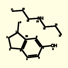 CC1CCc2ccc(O)cc21.CCCNCCC